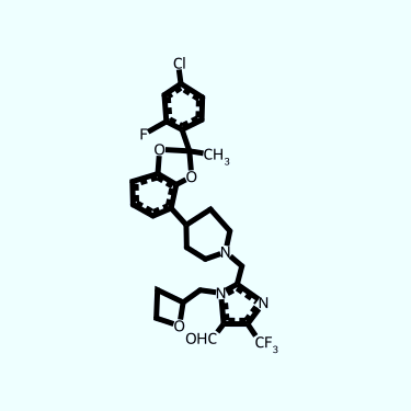 CC1(c2ccc(Cl)cc2F)Oc2cccc(C3CCN(Cc4nc(C(F)(F)F)c(C=O)n4CC4CCO4)CC3)c2O1